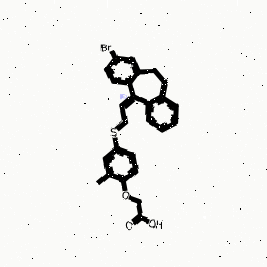 Cc1cc(SC/C=C2\c3ccccc3CCc3cc(Br)ccc32)ccc1OCC(=O)O